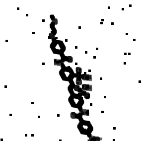 COCCOc1ccc(C(=O)Nc2ccc(C=Cc3ccc(NC(=O)c4ccc([S+](C)[O-])cc4)cc3S(=O)(=O)O)c(S(=O)(=O)O)c2)cc1